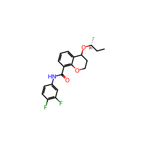 CC[C@@H](C)OC1CCOc2c(C(=O)Nc3ccc(F)c(F)c3)cccc21